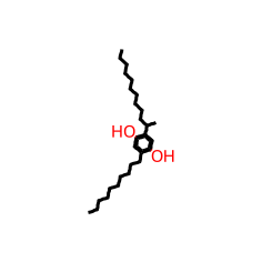 CCCCCCCCCCc1cc(O)c(C(C)CCCCCCCCCC)cc1O